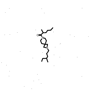 CCCCC(C)C(=O)N1CCC2(CC1)CN(CCCC(C)CC)C2